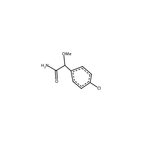 COC(C(N)=O)c1ccc(Cl)cc1